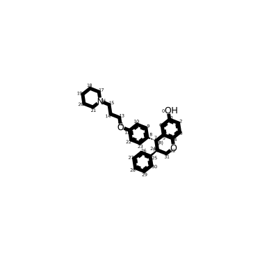 Oc1ccc2c(c1)[C@@H](c1ccc(OCCCN3CCCCC3)cc1)[C@H](c1ccccc1)CO2